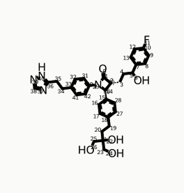 O=C1[C@H](CCC(O)c2ccc(F)cc2)[C@@H](c2ccc(CCC(O)(CO)CO)cc2)N1c1ccc(CCc2ncn[nH]2)cc1